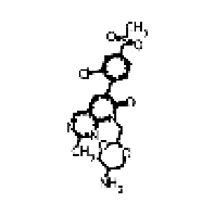 Cc1ncc2cc(-c3ccc(S(C)(=O)=O)cc3Cl)c(=O)n(CC3OCC(N)CO3)c2n1